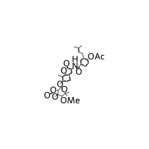 CO[C@@H]1C2OC(=O)OC2[C@H](Oc2ccc3cc(NC(=O)c4ccc(OC(C)=O)c(CC=C(C)C)c4)c(=O)oc3c2C)OC1(C)C